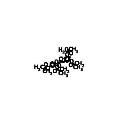 C=C(C)C(=O)Oc1cc(/C=C(\C)C(=O)Oc2ccc(OC(=O)C(=C)C)cc2OC(=O)C(=C)C)cc(OC(=O)C(=C)C)c1